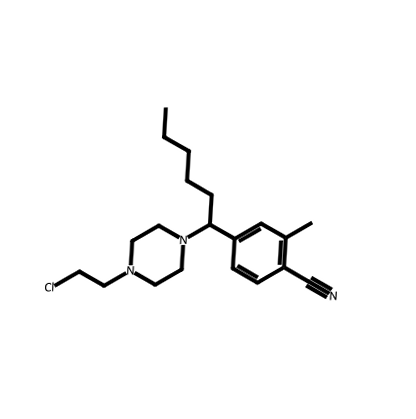 CCCCCC(c1ccc(C#N)c(C)c1)N1CCN(CCCl)CC1